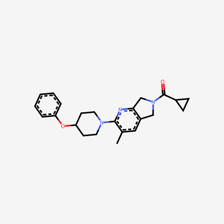 Cc1cc2c(nc1N1CCC(Oc3ccccc3)CC1)CN(C(=O)C1CC1)C2